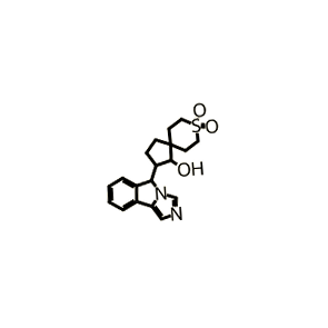 O=S1(=O)CCC2(CCC(C3c4ccccc4-c4cncn43)C2O)CC1